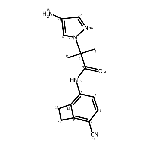 CC(C)(C(=O)Nc1ccc(C#N)c2c1CC2)n1cc(N)cn1